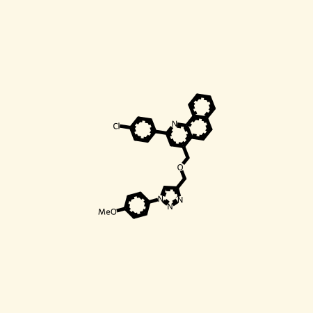 COc1ccc(-n2cc(COCc3cc(-c4ccc(Cl)cc4)nc4c3ccc3ccccc34)nn2)cc1